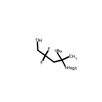 CCCCCCCC(C)(CCCC)CC(F)(F)CO